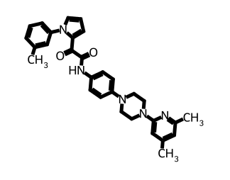 Cc1cccc(-n2cccc2C(=O)C(=O)Nc2ccc(N3CCN(c4cc(C)cc(C)n4)CC3)cc2)c1